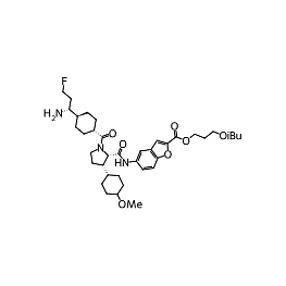 COC1CCC([C@@H]2CCN(C(=O)[C@H]3CC[C@H]([C@H](N)CCF)CC3)[C@@H]2C(=O)Nc2ccc3oc(C(=O)OCCCOCC(C)C)cc3c2)CC1